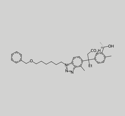 CCC(CC(=O)O)(c1ccc(C)c([C@H](C)O)c1)c1ccc2c(nnn2CCCCCCOCc2ccccc2)c1C